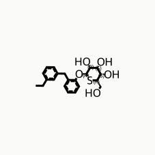 CCc1cccc(Cc2ccccc2O[C@@H]2S[C@H](CO)[C@@H](O)[C@H](O)[C@H]2O)c1